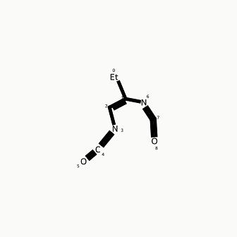 CCC(=CN=C=O)N=C=O